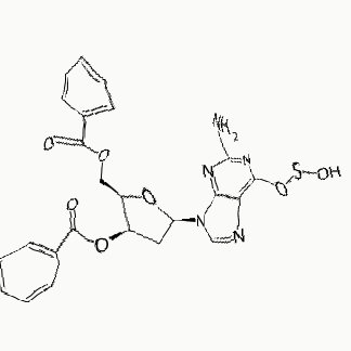 Nc1nc(OSO)c2ncn([C@H]3C[C@@H](OC(=O)c4ccccc4)[C@@H](COC(=O)c4ccccc4)O3)c2n1